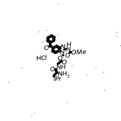 COC(=O)Nc1nc2cc(C(=O)c3ccccc3)ccc2n1COC(=O)CNC(=O)[C@@H](N)CC(C)C.Cl